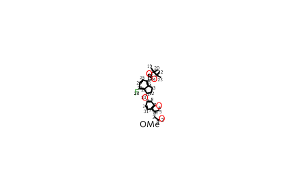 COC(=O)C[C@@H]1COc2cc(OC3CCc4c(B5OC(C)(C)C(C)(C)O5)ccc(F)c43)ccc21